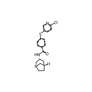 O=C(N[C@@H]1C[C@@H]2CCN(C2)C1)c1ccc(Sc2ccc(Cl)nc2)cc1